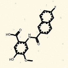 COc1cc(NC(=O)c2ccc3cc(F)ccc3c2)c(C(=O)O)cc1O